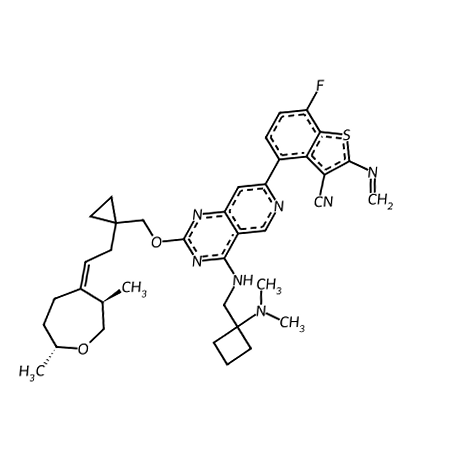 C=Nc1sc2c(F)ccc(-c3cc4nc(OCC5(C/C=C6/CC[C@@H](C)OC[C@@H]6C)CC5)nc(NCC5(N(C)C)CCC5)c4cn3)c2c1C#N